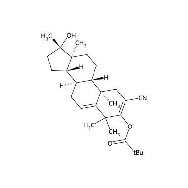 CC(C)(C)C(=O)OC1=C(C#N)C[C@@]2(C)C(=CC[C@@H]3[C@@H]2CC[C@@]2(C)[C@H]3CC[C@]2(C)O)C1(C)C